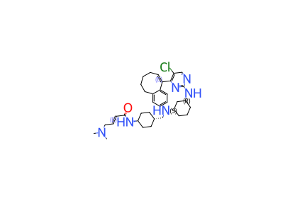 CN(C)C/C=C/C(=O)N[C@H]1CC[C@H](CN[C@H]2CCC[C@@H](Nc3ncc(Cl)c(/C4=C/CCCCc5ccccc54)n3)C2)CC1